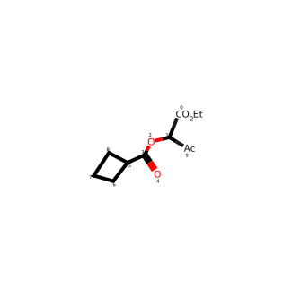 CCOC(=O)C(OC(=O)C1CCC1)C(C)=O